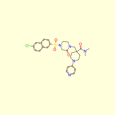 CN(C)C(=O)C1(CN2CCN(S(=O)(=O)c3ccc4cc(Cl)ccc4c3)CC2=O)CCN(c2ccncc2)CC1